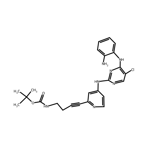 CC(C)(C)OC(=O)NCCC#Cc1cc(Nc2ncc(Cl)c(Nc3ccccc3N)n2)ccn1